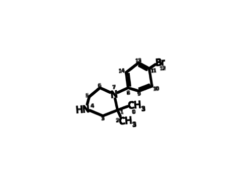 CC1(C)CNCCN1c1ccc(Br)cc1